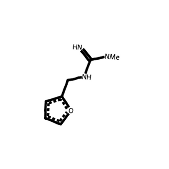 CNC(=N)NCc1ccco1